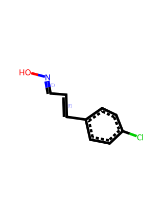 O/N=C/C=C/c1ccc(Cl)cc1